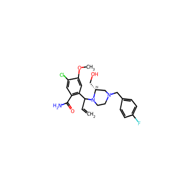 C=CC(c1cc(OC)c(Cl)cc1C(N)=O)N1CCN(Cc2ccc(F)cc2)C[C@H]1CO